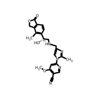 COc1cc(-n2cc(CNC[C@H](O)c3ccc4c(c3C)COC4=O)nc2C)ncc1C#N